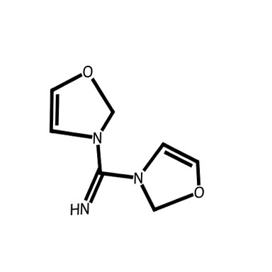 N=C(N1C=COC1)N1C=COC1